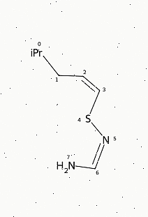 CC(C)C/C=C\S/N=C\N